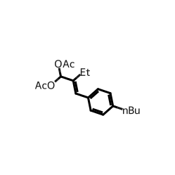 CCCCc1ccc(/C=C(\CC)C(OC(C)=O)OC(C)=O)cc1